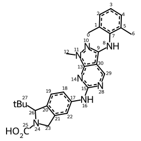 Cc1cccc(C)c1Nc1nn(C)c2nc(Nc3ccc4c(c3)CN(C(=O)O)C4C(C)(C)C)ncc12